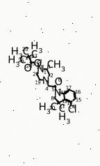 C[C@@H]1CN(CC(=O)N2CC(C)(C)c3c(Cl)cccc32)CCN1OC(=O)C(C)(C)C